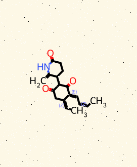 C=C1NC(=O)CCC1C1C(=O)CC(=C/C)/C(=C\C=C/C)C1=O